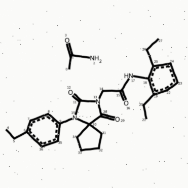 CC(N)=O.CCc1ccc(N2C(=O)N(CC(=O)Nc3c(CC)cccc3CC)C(=O)C23CCCC3)cc1